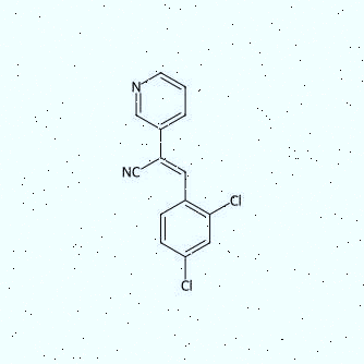 N#C/C(=C\c1ccc(Cl)cc1Cl)c1cccnc1